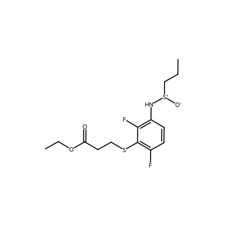 CCC[S+]([O-])Nc1ccc(F)c(SCCC(=O)OCC)c1F